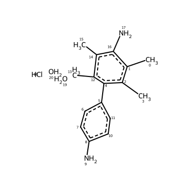 Cc1c(C)c(-c2ccc(N)cc2)c(C)c(C)c1N.Cl.O.O